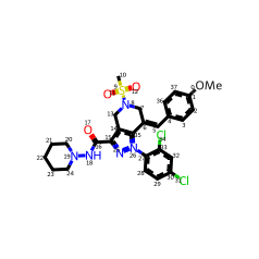 COc1ccc(C=C2CN(S(C)(=O)=O)Cc3c(C(=O)NN4CCCCC4)nn(-c4ccc(Cl)cc4Cl)c32)cc1